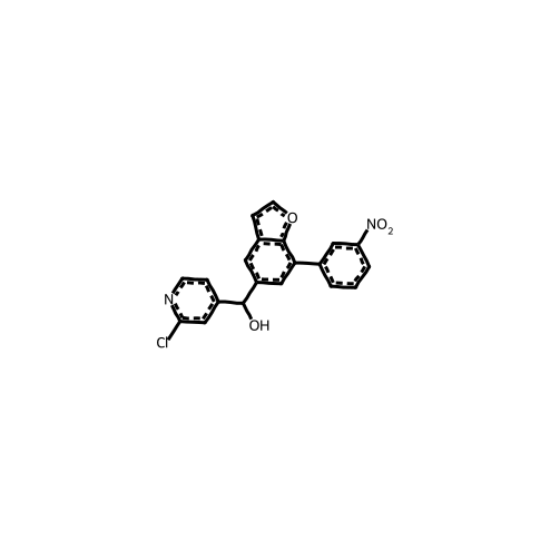 O=[N+]([O-])c1cccc(-c2cc(C(O)c3ccnc(Cl)c3)cc3ccoc23)c1